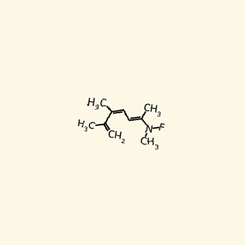 C=C(C)/C(C)=C\C=C(/C)N(C)F